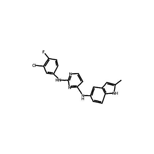 Cc1cc2cc(Nc3ccnc(Nc4ccc(F)c(Cl)c4)n3)ccc2[nH]1